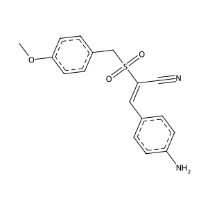 COc1ccc(CS(=O)(=O)C(C#N)=Cc2ccc(N)cc2)cc1